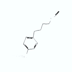 [CH]=CCCCCCc1ccc(CCCCC)cc1